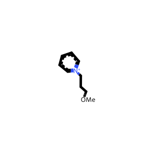 COCCC[n+]1ccccc1